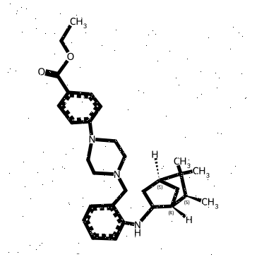 CCOC(=O)c1ccc(N2CCN(Cc3ccccc3NC3C[C@@H]4C[C@@H]3[C@H](C)C4(C)C)CC2)cc1